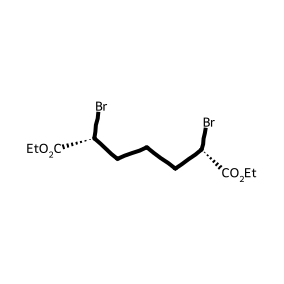 CCOC(=O)[C@H](Br)CCC[C@H](Br)C(=O)OCC